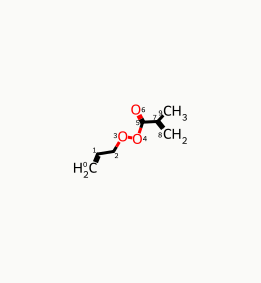 C=CCOOC(=O)C(=C)C